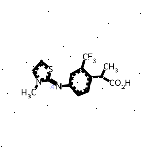 CC(C(=O)O)c1ccc(/N=c2\sccn2C)cc1C(F)(F)F